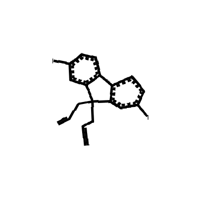 C=CCC1(CC=C)c2cc(I)ccc2-c2ccc(I)cc21